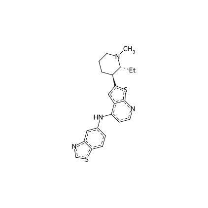 CC[C@@H]1[C@@H](c2cc3c(Nc4ccc5scnc5c4)ccnc3s2)CCCN1C